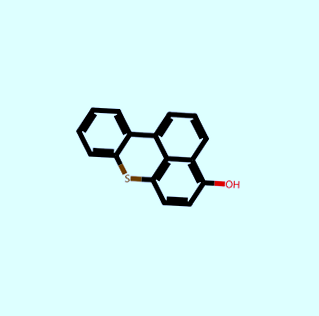 Oc1ccc2c3c(cccc13)-c1ccccc1S2